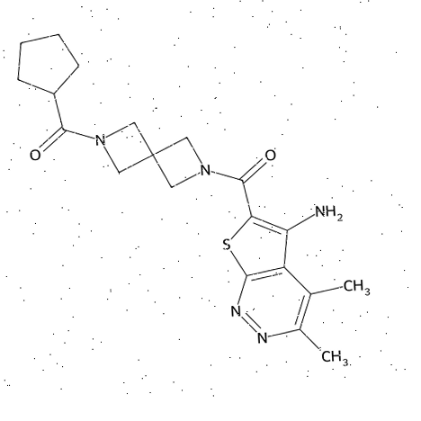 Cc1nnc2sc(C(=O)N3CC4(C3)CN(C(=O)C3CCCC3)C4)c(N)c2c1C